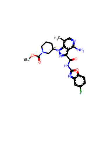 Cc1cnc(N)c2c(C(=O)Nc3nc4cc(F)ccc4o3)nn([C@@H]3CCCN(C(=O)OC(C)(C)C)C3)c12